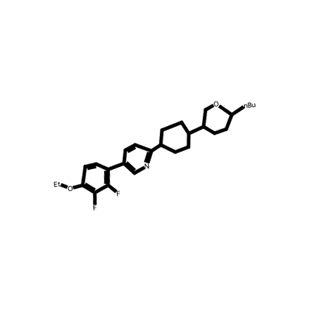 CCCCC1CCC(C2CCC(c3ccc(-c4ccc(OCC)c(F)c4F)cn3)CC2)CO1